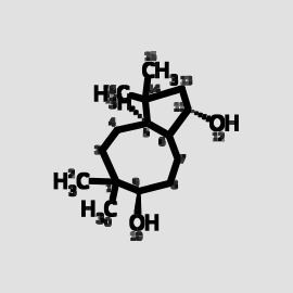 CC1(C)CC[C@@H]2C(CC[C@H]1O)[C@@H](O)CC2(C)C